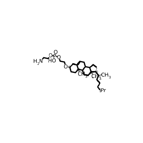 CC(C)CCC[C@@H](C)[C@H]1CCC2C3CC=C4C[C@@H](OCCOP(=O)(O)OCCN)CC[C@]4(C)C3CC[C@@]21C